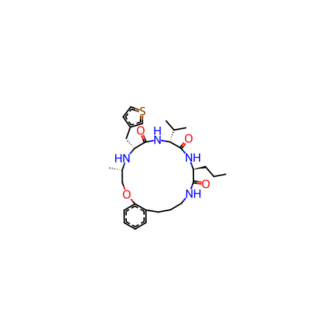 CCC[C@@H]1NC(=O)[C@@H](C(C)C)NC(=O)[C@@H](Cc2ccsc2)N[C@@H](C)COc2ccccc2CCCNC1=O